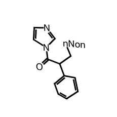 CCCCCCCCCCC(C(=O)n1ccnc1)c1ccccc1